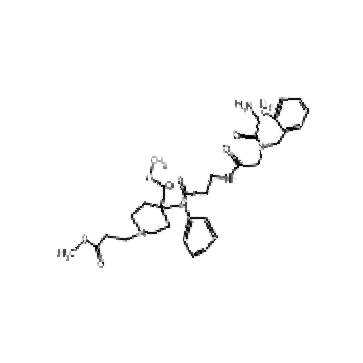 COC(=O)CCN1CCC(C(=O)OC)(N(C(=O)CCNC(=O)CN(Cc2ccccc2C)C(=O)CN)c2ccccc2)CC1